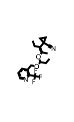 CC/C(=C(/C)OC(CC)OCc1cccnc1C(F)(F)F)C1(C#N)CC1